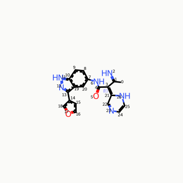 CC(=N)/C(C(=O)Nc1ccc2[nH]nc(-c3ccoc3)c2c1)=C1/C=NC=CN1